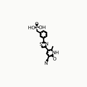 Cc1[nH]c(=O)c(C#N)cc1-c1csc(-c2cccc(CP(=O)(O)O)c2)n1